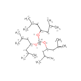 CC(C)CC(CC(C)C)O[SiH](OC(CC(C)C)CC(C)C)OC(CC(C)C)CC(C)C